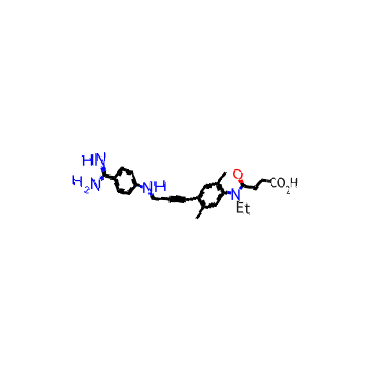 CCN(C(=O)CCC(=O)O)c1cc(C)c(C#CCNc2ccc(C(=N)N)cc2)cc1C